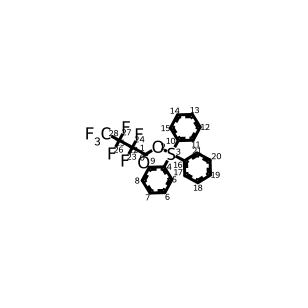 O=C(OS(c1ccccc1)(c1ccccc1)c1ccccc1)C(F)(F)C(F)(F)C(F)(F)F